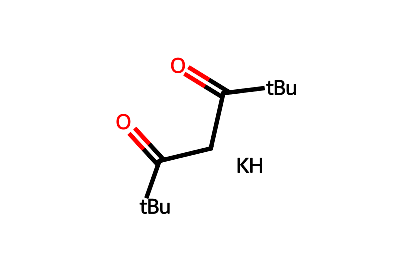 CC(C)(C)C(=O)CC(=O)C(C)(C)C.[KH]